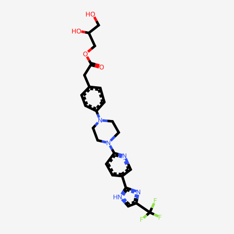 O=C(Cc1ccc(N2CCN(c3ccc(-c4nc(C(F)(F)F)c[nH]4)cn3)CC2)cc1)OCC(O)CO